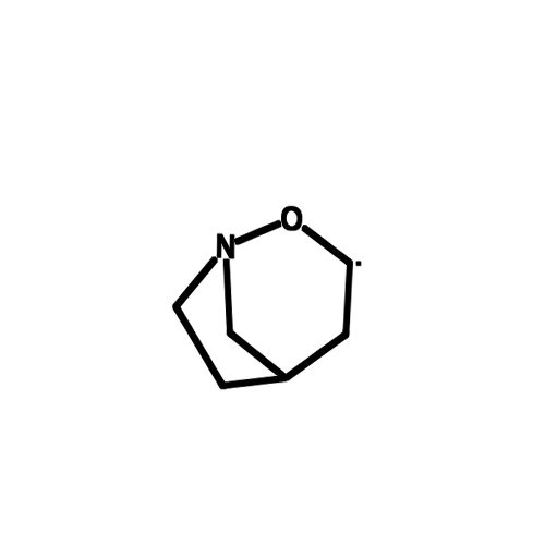 [CH]1CC2CCN(C2)O1